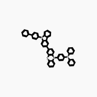 c1ccc(-c2ccc(-n3c4ccccc4c4cc(-c5ccc6c(c5)Sc5ccccc5N6c5ccc(N(c6ccccc6)c6ccccc6)cc5)ccc43)cc2)cc1